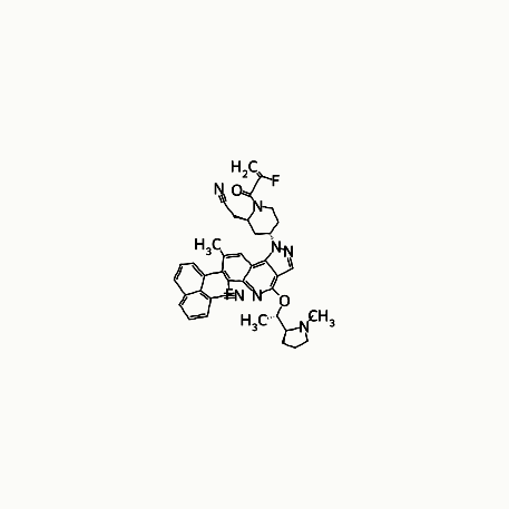 C=C(F)C(=O)N1CC[C@H](n2ncc3c(O[C@@H](C)[C@@H]4CCCN4C)nc4c(F)c(-c5cccc6cccc(C#N)c56)c(C)cc4c32)C[C@H]1CC#N